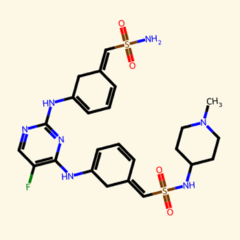 CN1CCC(NS(=O)(=O)C=C2C=CC=C(Nc3nc(NC4=CC=CC(=CS(N)(=O)=O)C4)ncc3F)C2)CC1